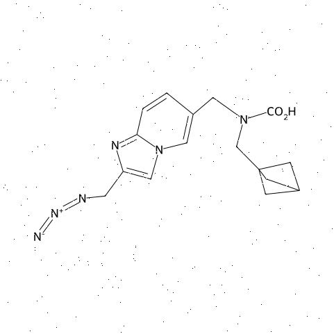 [N-]=[N+]=NCc1cn2cc(CN(CC34CC(C3)C4)C(=O)O)ccc2n1